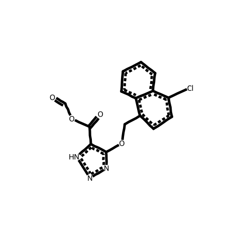 O=COC(=O)c1[nH]nnc1OCc1ccc(Cl)c2ccccc12